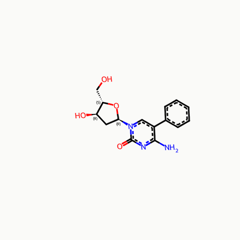 Nc1nc(=O)n([C@H]2C[C@@H](O)[C@H](CO)O2)cc1-c1ccccc1